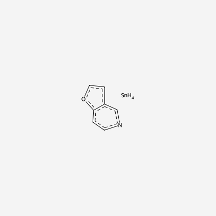 [SnH4].c1cc2occc2cn1